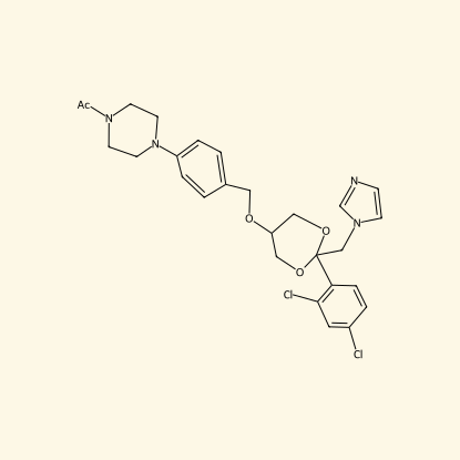 CC(=O)N1CCN(c2ccc(COC3COC(Cn4ccnc4)(c4ccc(Cl)cc4Cl)OC3)cc2)CC1